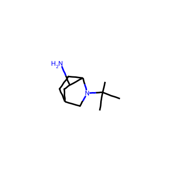 CC(C)(C)N1CC2CCC1C(N)C2